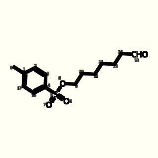 Cc1ccc(S(=O)(=O)OCCCCCCC=O)cc1